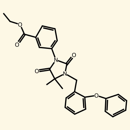 CCOC(=O)c1cccc(N2C(=O)N(Cc3ccccc3Oc3ccccc3)C(C)(C)C2=O)c1